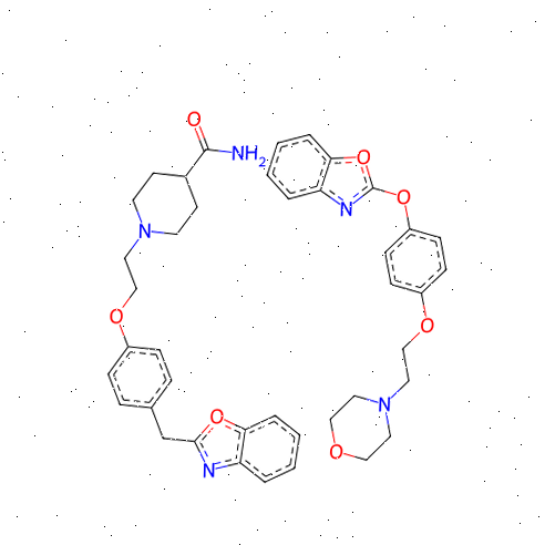 NC(=O)C1CCN(CCOc2ccc(Cc3nc4ccccc4o3)cc2)CC1.c1ccc2oc(Oc3ccc(OCCN4CCOCC4)cc3)nc2c1